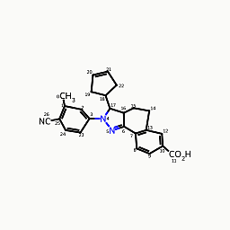 Cc1cc(N2N=C3c4ccc(C(=O)O)cc4CCC3C2C2CC=CC2)ccc1C#N